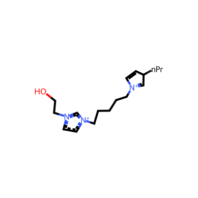 CCCC1C=C[N+](CCCCC[n+]2ccn(CCO)c2)=C1